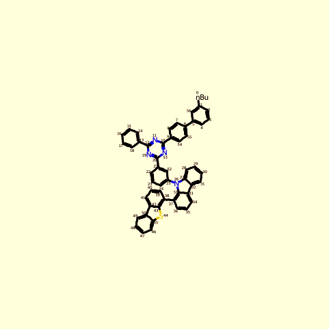 CCCCc1cccc(-c2ccc(-c3nc(-c4ccccc4)nc(-c4cccc(-n5c6ccccc6c6cccc(-c7cccc8c7sc7ccccc78)c65)c4)n3)cc2)c1